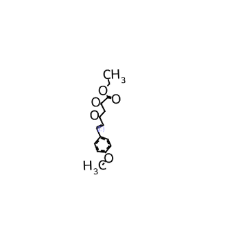 CCOC(=O)C(=O)CC(=O)/C=C/c1ccc(OC)cc1